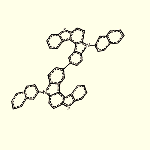 c1ccc2cc(-n3c4ccc(-c5ccc6c(c5)c5c7c(ccc5n6-c5ccc6ccccc6c5)sc5ccccc57)cc4c4c5c(ccc43)sc3ccccc35)ccc2c1